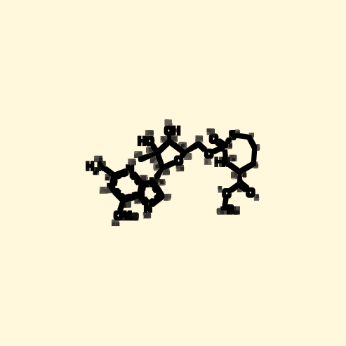 CCCCOC(=O)[C@@H]1CCCSP(=O)(OC[C@H]2O[C@@H](n3cnc4c(OC)nc(N)nc43)[C@](C)(O)[C@@H]2O)N1